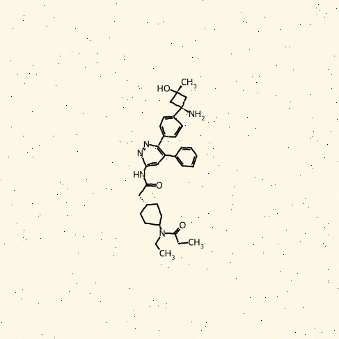 CCC(=O)N(CC)[C@H]1CC[C@H](CC(=O)Nc2cc(-c3ccccc3)c(-c3ccc([C@]4(N)C[C@](C)(O)C4)cc3)nn2)CC1